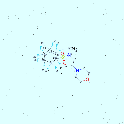 CN(CCN1CCOCC1)S(=O)(=O)C1(F)C(F)(F)C(F)(F)C(F)(F)C(F)(F)C1(F)F